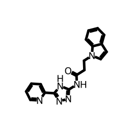 O=C(CCn1ccc2ccccc21)Nc1nnc(-c2ccccn2)[nH]1